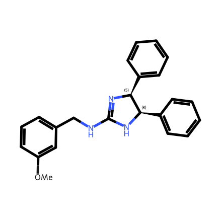 COc1cccc(CNC2=N[C@@H](c3ccccc3)[C@@H](c3ccccc3)N2)c1